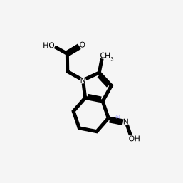 Cc1cc2c(n1CC(=O)O)CCC/C2=N\O